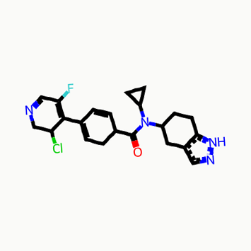 O=C(C1C=CC(C2=C(F)C=NCC2Cl)=CC1)N(C1CC1)C1CCc2[nH]ncc2C1